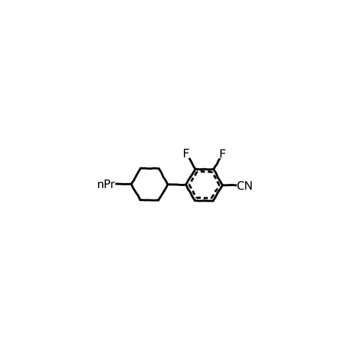 CCCC1CCC(c2ccc(C#N)c(F)c2F)CC1